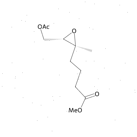 COC(=O)CCC[C@]1(C)O[C@H]1COC(C)=O